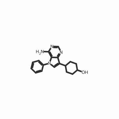 Nc1ncnc2c(C3CCC(O)CC3)cn(-c3ccccc3)c12